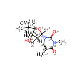 [2H]C(C)(OC)[C@]1(C)O[C@]([2H])(n2cc(C)c(=O)n(C)c2=O)C([2H])([2H])[C@@]1(C)O